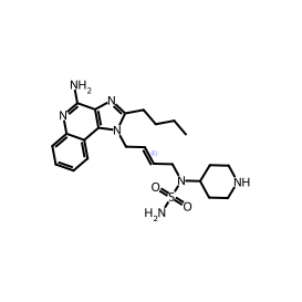 CCCCc1nc2c(N)nc3ccccc3c2n1C/C=C/CN(C1CCNCC1)S(N)(=O)=O